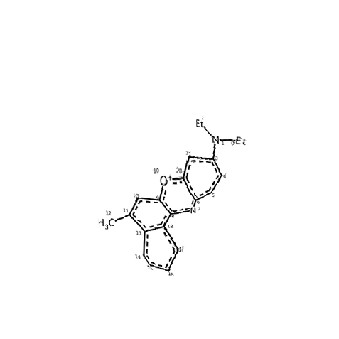 CCN(CC)c1ccc2nc3c(cc(C)c4ccccc43)[o+]c2c1